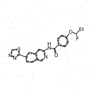 CCC(F)Oc1ccc(C(=O)Nc2cc3cc(-c4nncs4)ccc3cn2)cc1